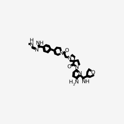 CN/C=N\C(=N)c1ccc(C2=CCN(C(=O)CN3CC[C@]4(CCN(c5ccc(N)c(C(=N)C6=CCOCC6)n5)C4=O)C3)CC2)cc1